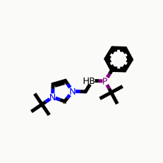 CC(C)(C)N1[C]N(CBP(c2ccccc2)C(C)(C)C)C=C1